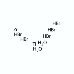 Br.Br.Br.Br.Br.O.O.[Ti].[Zr]